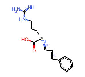 N=C(N)NCCC[C@H](/N=C/C=C/c1ccccc1)C(=O)O